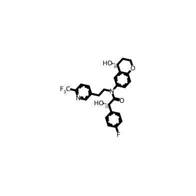 O=C([C@@H](O)c1ccc(F)cc1)N(CCc1ccc(C(F)(F)F)nc1)c1ccc2c(c1)[C@H](O)CCO2